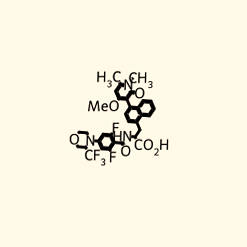 COc1cc(C)n(C)c(=O)c1-c1ccc(CC(NC(=O)c2c(F)cc(N3CCOCC3C(F)(F)F)cc2F)C(=O)O)c2ccccc12